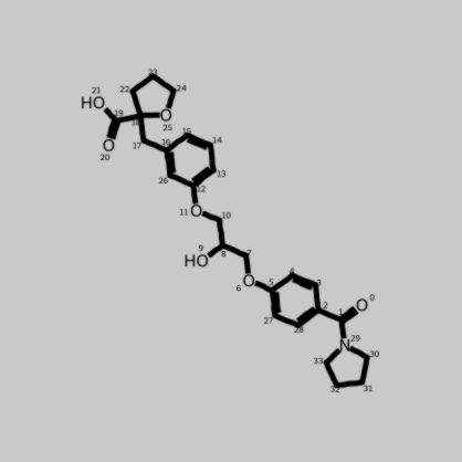 O=C(c1ccc(OCC(O)COc2cccc(CC3(C(=O)O)CCCO3)c2)cc1)N1CCCC1